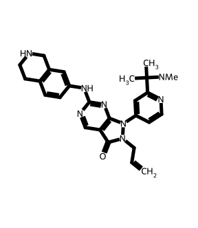 C=CCn1c(=O)c2cnc(Nc3ccc4c(c3)CNCC4)nc2n1-c1ccnc(C(C)(C)NC)c1